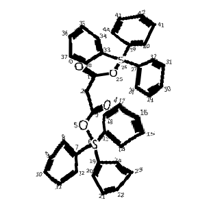 O=C(CC(=O)OS(c1ccccc1)(c1ccccc1)c1ccccc1)OS(c1ccccc1)(c1ccccc1)c1ccccc1